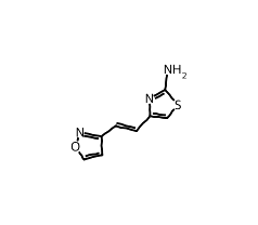 Nc1nc(C=Cc2ccon2)cs1